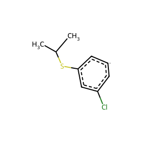 CC(C)Sc1c[c]cc(Cl)c1